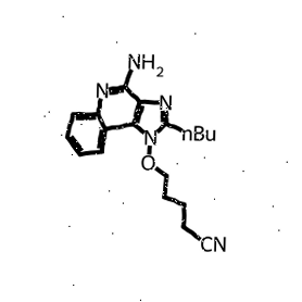 CCCCc1nc2c(N)nc3ccccc3c2n1OCCCCC#N